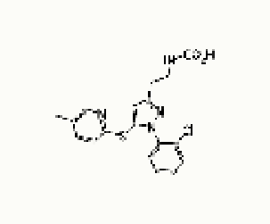 Cc1ccc(Sc2cc(CCNC(=O)O)nn2-c2ccccc2Cl)nc1